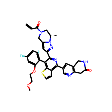 C=CC(=O)N1Cc2cc(-c3nc(-c4cnc5c(c4)CNC(=O)C5)c4ccsc4c3-c3c(F)cc(F)cc3OCCOC)nn2[C@@H](C)C1